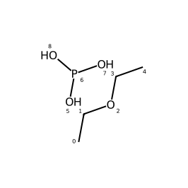 CCOCC.OP(O)O